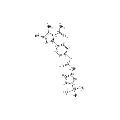 CC(C)n1nc(-c2ccc(CC(=O)Nc3cc(C(C)(C)F)no3)cc2)c(C(N)=O)c1N